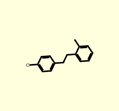 Cc1ccccc1C[CH]c1ccc(Cl)cc1